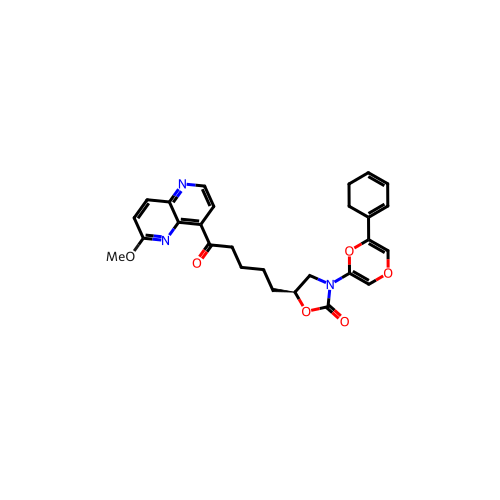 COc1ccc2nccc(C(=O)CCCC[C@H]3CN(C4=COC=C(C5=CC=CCC5)O4)C(=O)O3)c2n1